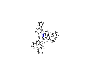 c1ccc(-c2cccc(N(c3ccc(-c4cc5ccccc5c5ccccc45)cc3)c3cccc4c3ccc3ccc5ccccc5c34)c2)cc1